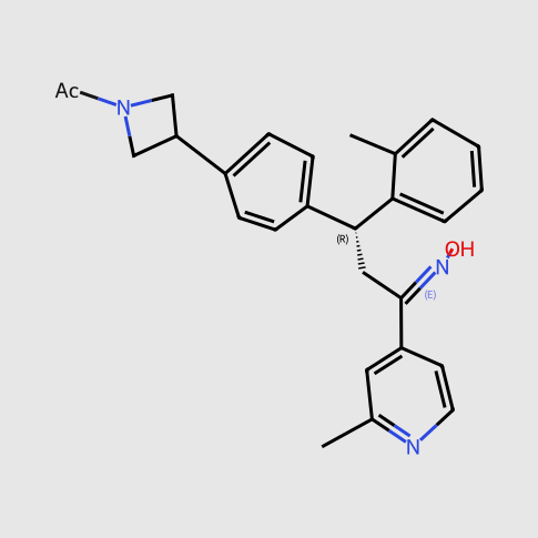 CC(=O)N1CC(c2ccc([C@@H](C/C(=N\O)c3ccnc(C)c3)c3ccccc3C)cc2)C1